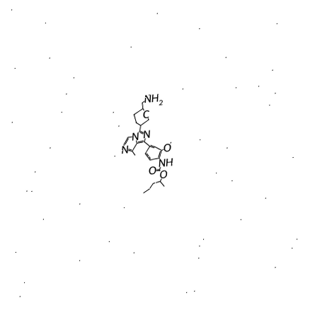 CCCC(C)OC(=O)Nc1ccc(-c2nc(C3CCC(CN)CC3)n3ccnc(C)c23)cc1OC